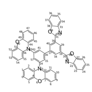 c1ccc2c(c1)Oc1ccccc1N2c1cc(-c2cc(-c3nc4ccccc4o3)cc(-c3nc4ccccc4o3)c2)cc(N2c3ccccc3Oc3ccccc32)c1